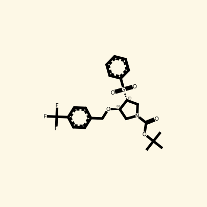 CC(C)(C)OC(=O)N1C[C@@H](S(=O)(=O)c2ccccc2)[C@H](OCc2ccc(C(F)(F)F)cc2)C1